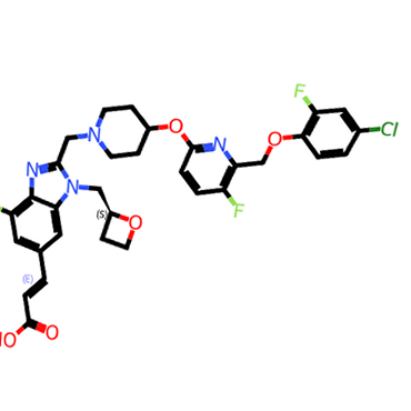 O=C(O)/C=C/c1cc(F)c2nc(CN3CCC(Oc4ccc(F)c(COc5ccc(Cl)cc5F)n4)CC3)n(C[C@@H]3CCO3)c2c1